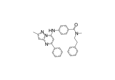 Cc1cc2nc(-c3ccccc3)cc(Nc3ccc(C(=O)N(C)CCc4ccccc4)cc3)n2n1